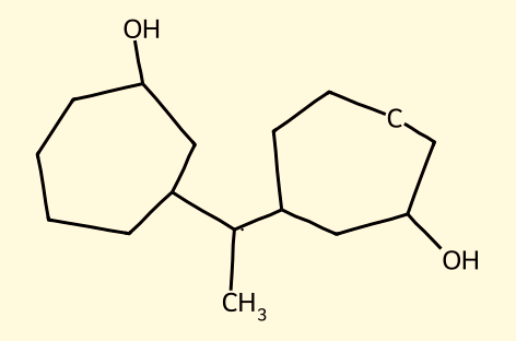 C[C](C1CCCCC(O)C1)C1CCCCC(O)C1